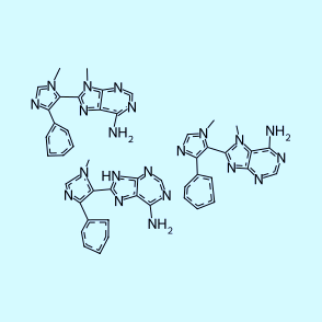 Cn1cnc(-c2ccccc2)c1-c1nc2c(N)ncnc2[nH]1.Cn1cnc(-c2ccccc2)c1-c1nc2c(N)ncnc2n1C.Cn1cnc(-c2ccccc2)c1-c1nc2ncnc(N)c2n1C